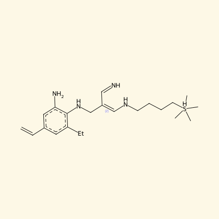 C=Cc1cc(N)c(NC/C(C=N)=C/NCCCC[SH](C)(C)(C)C)c(CC)c1